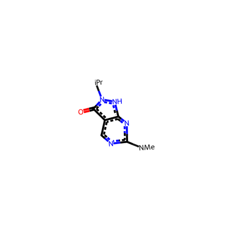 CNc1ncc2c(=O)n(C(C)C)[nH]c2n1